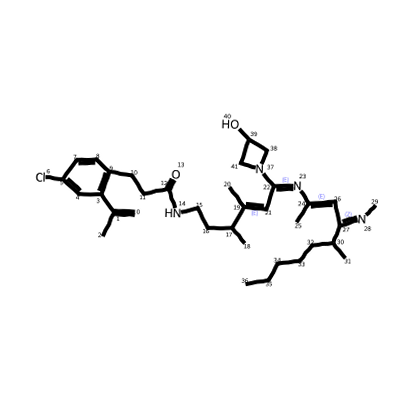 C=C(C)c1cc(Cl)ccc1CCC(=O)NCCC(C)/C(C)=C/C(=N\C(C)=C\C(=N/C)C(C)CCCCC)N1CC(O)C1